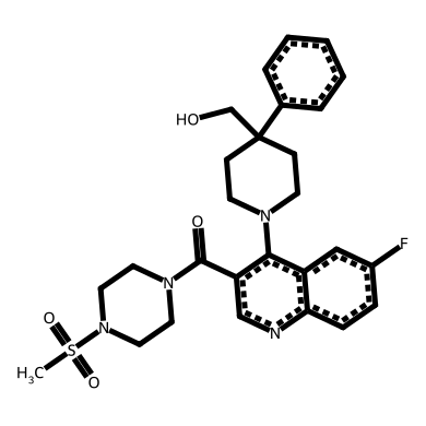 CS(=O)(=O)N1CCN(C(=O)c2cnc3ccc(F)cc3c2N2CCC(CO)(c3ccccc3)CC2)CC1